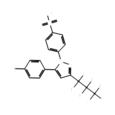 CS(=O)(=O)c1ccc(-n2nc(C(F)(F)C(F)(F)C(F)(F)F)cc2-c2ccc(Cl)cc2)cc1